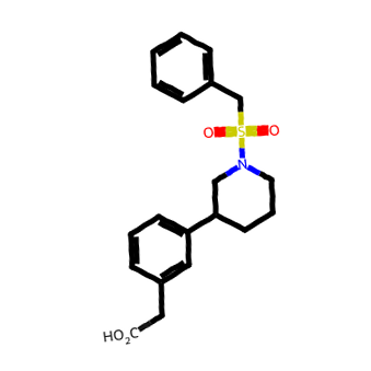 O=C(O)Cc1cccc(C2CCCN(S(=O)(=O)Cc3ccccc3)C2)c1